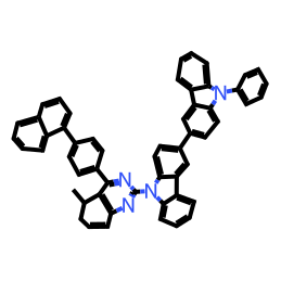 CC1CC=Cc2nc(-n3c4ccccc4c4cc(-c5ccc6c(c5)c5ccccc5n6-c5ccccc5)ccc43)nc(-c3ccc(-c4cccc5ccccc45)cc3)c21